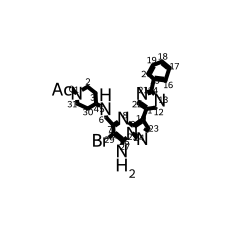 CC(=O)N1CCC(NCc2nc3c(-c4cnc(-c5ccccc5)nc4)cnn3c(N)c2Br)CC1